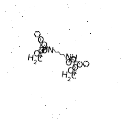 C=CC(=O)OCC(COc1ccccc1)OC(=O)CNCCCCCCNC(=O)OC(COC(=O)C=C)COc1ccccc1